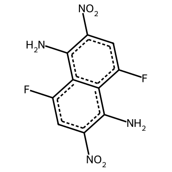 Nc1c([N+](=O)[O-])cc(F)c2c(N)c([N+](=O)[O-])cc(F)c12